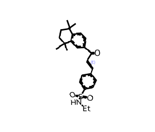 CCNS(=O)(=O)c1ccc(/C=C/C(=O)c2ccc3c(c2)C(C)(C)CCC3(C)C)cc1